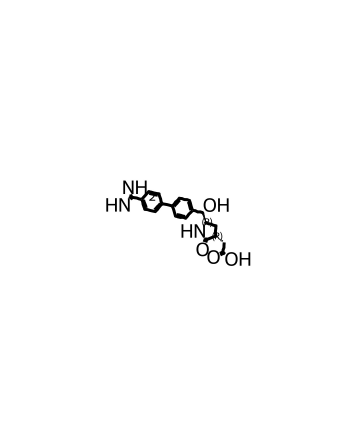 N=C(N)c1ccc(-c2ccc(C(O)[C@H]3C[C@H](CC(=O)O)C(=O)N3)cc2)cc1